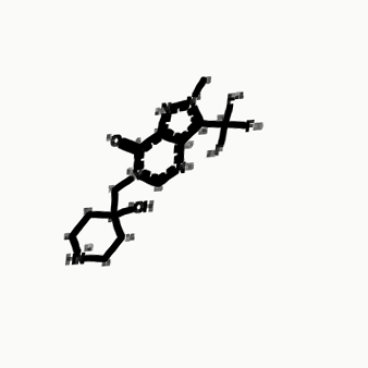 Cn1nc2c(=O)n(CC3(O)CCNCC3)cnc2c1C(F)(F)F